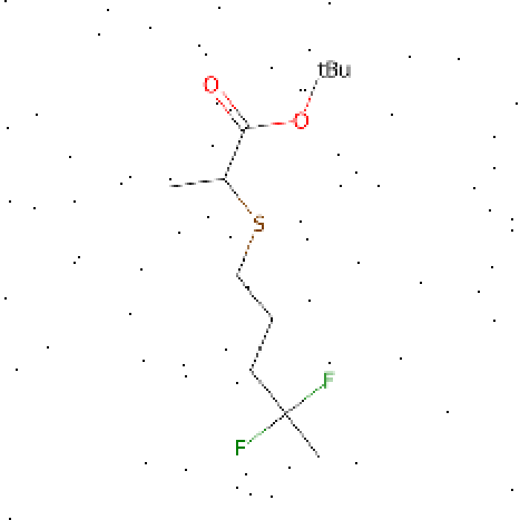 CC(SCCCC(C)(F)F)C(=O)OC(C)(C)C